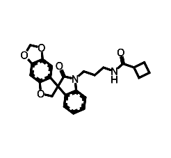 O=C(NCCCN1C(=O)C2(COc3cc4c(cc32)OCO4)c2ccccc21)C1CCC1